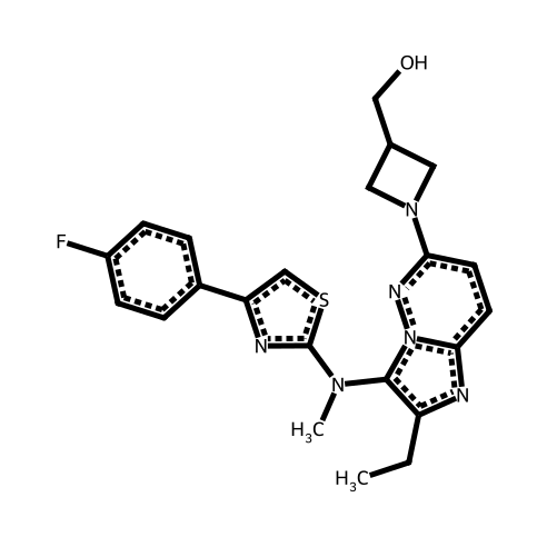 CCc1nc2ccc(N3CC(CO)C3)nn2c1N(C)c1nc(-c2ccc(F)cc2)cs1